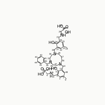 Cc1cc(CNCP(=O)(O)O)c(O)c(CN2CCCN(Cc3cc(C)cc(CNCP(=O)(O)O)c3O)CCN(Cc3ccccc3)CC2)c1